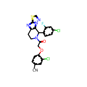 N#Cc1ccc(OCC(=O)N2CCc3nc4scnn4c3C2c2ccc(Cl)cc2F)c(Cl)c1